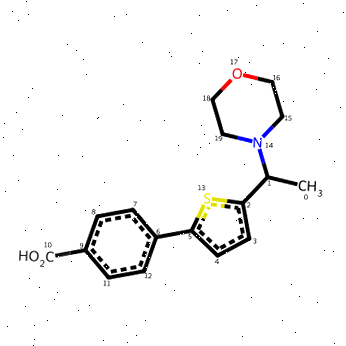 CC(c1ccc(-c2ccc(C(=O)O)cc2)s1)N1CCOCC1